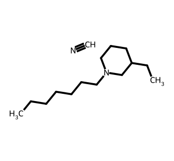 C#N.CCCCCCCN1CCCC(CC)C1